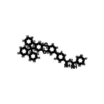 N=C(SC(=N)c1ccc(-c2ccc3c(c2)Oc2cc4c(cc2O3)-c2ccccc2C4(c2ccccc2)c2ccccc2)cc1)c1ccccc1